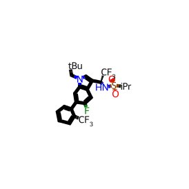 CC(C)S(=O)(=O)N[C@@H](c1cn(CC(C)(C)C)c2cc(-c3ccccc3C(F)(F)F)c(F)cc12)C(F)(F)F